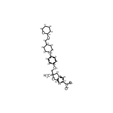 CC1(COc2ccc(N3CCC(COC4CCCCO4)CC3)cc2)Cn2cc([N+](=O)[O-])nc2O1